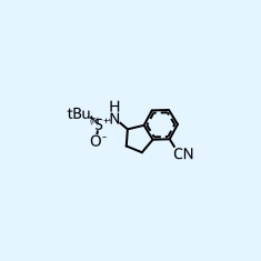 CC(C)(C)[S@+]([O-])NC1CCc2c(C#N)cccc21